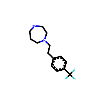 FC(F)(F)c1ccc(CCN2CCCNCC2)cc1